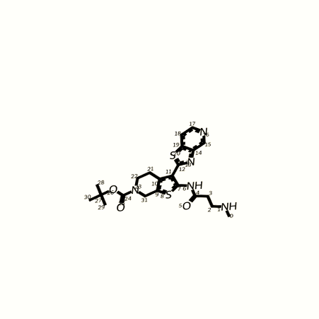 CNCCC(=O)Nc1sc2c(c1-c1nc3cnccc3s1)CCN(C(=O)OC(C)(C)C)C2